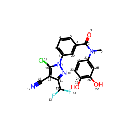 CN(C(=O)c1cccc(-n2nc(C(F)F)c(C#N)c2Cl)c1)c1ccc(O)c(O)c1